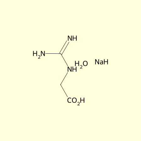 N=C(N)NCC(=O)O.O.[NaH]